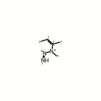 C/C=C(/C)N(C)N=N